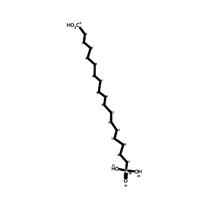 O=C(O)CCCCCCCCCCCCCCCCCP(=O)(O)O